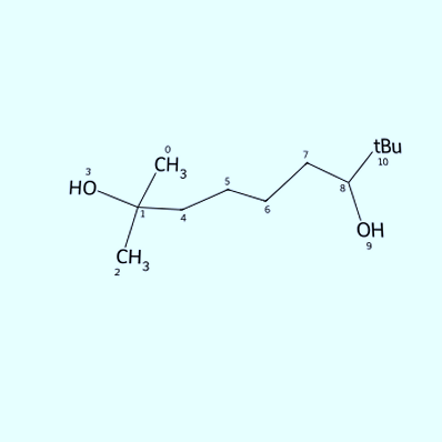 CC(C)(O)CCCCC(O)C(C)(C)C